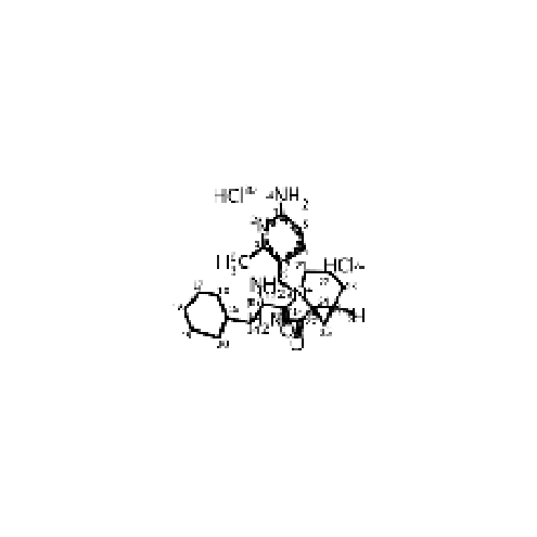 Cc1nc(N)ccc1C[N+]1(C(=O)[C@H](N)CC2CCCCC2)CCC[C@@H]2C[C@@]21C(N)=O.Cl.Cl